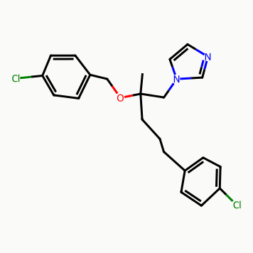 CC(CCCc1ccc(Cl)cc1)(Cn1ccnc1)OCc1ccc(Cl)cc1